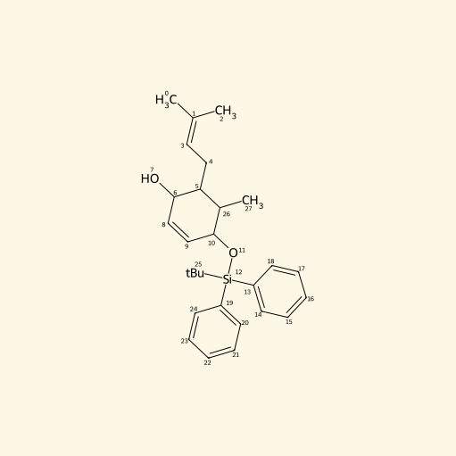 CC(C)=CCC1C(O)C=CC(O[Si](c2ccccc2)(c2ccccc2)C(C)(C)C)C1C